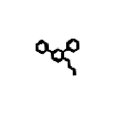 CCCCc1ccc(-c2ccccc2)[c]c1-c1ccccc1